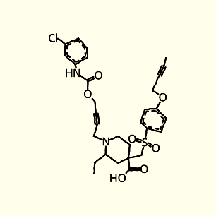 CC#CCOc1ccc(S(=O)(=O)CC2(C(=O)O)CCN(CC#CCOC(=O)Nc3cccc(Cl)c3)C(CC)C2)cc1